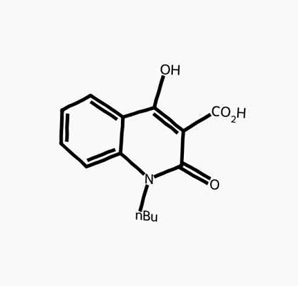 CCCCn1c(=O)c(C(=O)O)c(O)c2ccccc21